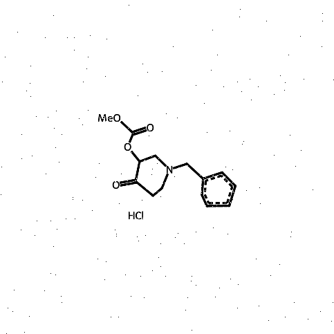 COC(=O)OC1CN(Cc2ccccc2)CCC1=O.Cl